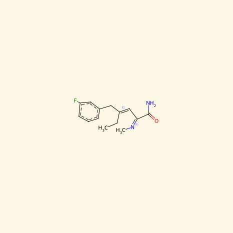 CC/C(=C\C(=N/C)C(N)=O)Cc1cccc(F)c1